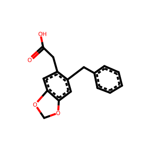 O=C(O)Cc1cc2c(cc1Cc1ccccc1)OCO2